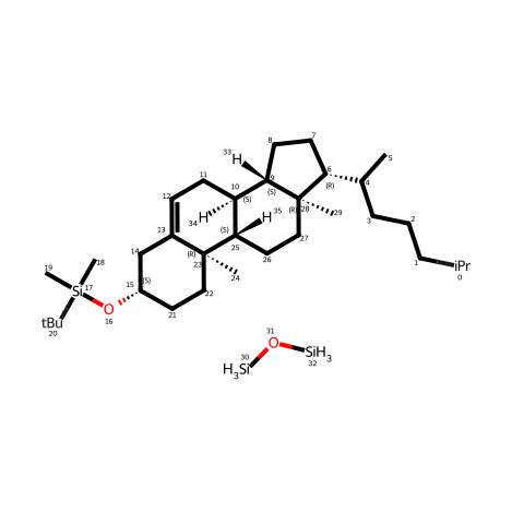 CC(C)CCCC(C)[C@H]1CC[C@H]2[C@@H]3CC=C4C[C@@H](O[Si](C)(C)C(C)(C)C)CC[C@]4(C)[C@H]3CC[C@]12C.[SiH3]O[SiH3]